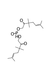 CC(C)=CCC(C)(C)C(=O)CO[PH](=O)OCC(=O)C(C)(C)CC=C(C)C